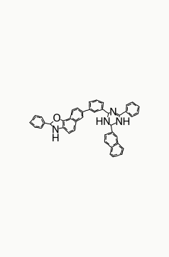 c1ccc(C2=NC(c3cccc(-c4ccc5c6c(ccc5c4)NC(c4ccccc4)O6)c3)NC(c3ccc4ccccc4c3)N2)cc1